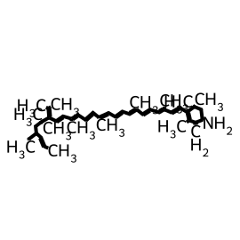 C=C1C(C)=C(/C=C/C(C)=C/C=C/C(C)=C/C=C/C=C(C)/C=C/C=C(C)/C=C/C(=C(C)C)C(C)(C)CC(/C=C/C)CC)C(C)(C)CC1N